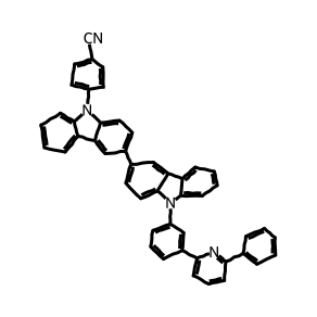 N#Cc1ccc(-n2c3ccccc3c3cc(-c4ccc5c(c4)c4ccccc4n5-c4cccc(-c5cccc(-c6ccccc6)n5)c4)ccc32)cc1